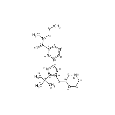 CCCN(C)C(=O)c1cncc(-c2cn(CC3CNCCO3)c(C(C)(C)C)n2)n1